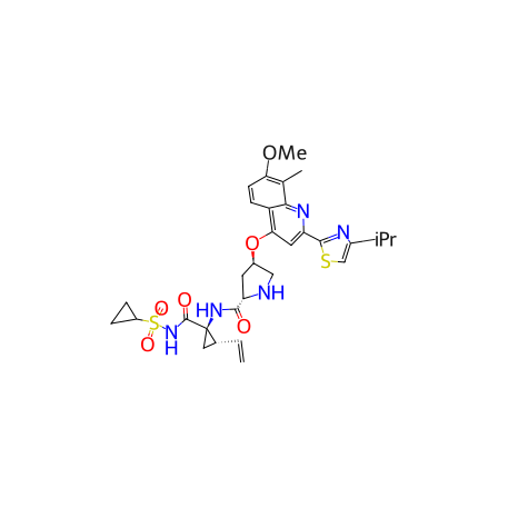 C=C[C@@H]1C[C@]1(NC(=O)[C@@H]1C[C@@H](Oc2cc(-c3nc(C(C)C)cs3)nc3c(C)c(OC)ccc23)CN1)C(=O)NS(=O)(=O)C1CC1